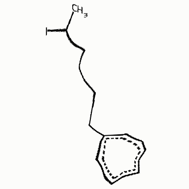 CC(I)CCCCc1ccccc1